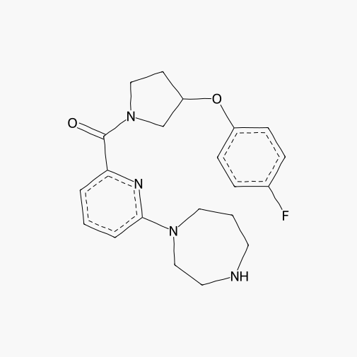 O=C(c1cccc(N2CCCNCC2)n1)N1CCC(Oc2ccc(F)cc2)C1